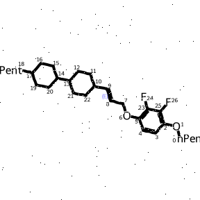 CCCCCOc1ccc(OC/C=C/C2CCC(C3CCC(CCCCC)CC3)CC2)c(F)c1F